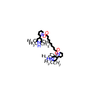 CC1(C)CC(C2CCCCN2OC(=O)CCCCCCCCC(=O)ON2CCCCC2C2CC(C)(C)NC(C)(C)C2)CC(C)(C)N1